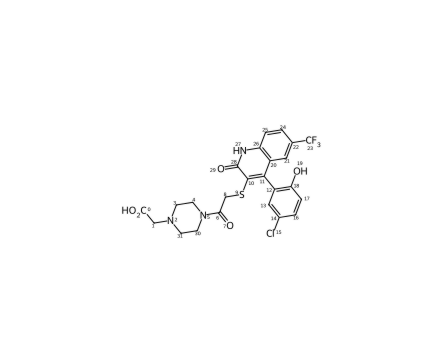 O=C(O)CN1CCN(C(=O)CSc2c(-c3cc(Cl)ccc3O)c3cc(C(F)(F)F)ccc3[nH]c2=O)CC1